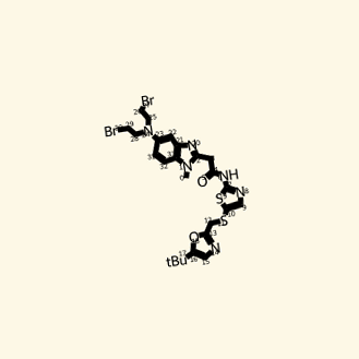 Cn1c(CC(=O)Nc2ncc(SCc3ncc(C(C)(C)C)o3)s2)nc2cc(N(CCBr)CCBr)ccc21